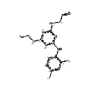 C=CCNc1nc(Nc2ccc(C)cc2C)nc(OCC)n1